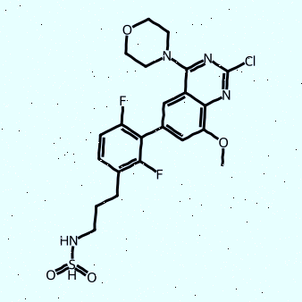 COc1cc(-c2c(F)ccc(CCCN[SH](=O)=O)c2F)cc2c(N3CCOCC3)nc(Cl)nc12